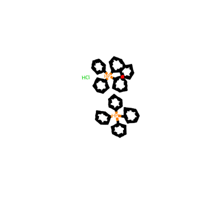 Cl.c1ccc([PH](c2ccccc2)(c2ccccc2)c2cccc3ccccc23)cc1.c1ccc([PH](c2ccccc2)(c2ccccc2)c2ccccc2)cc1